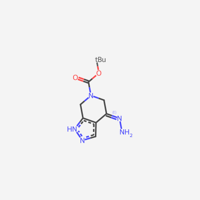 CC(C)(C)OC(=O)N1C/C(=N/N)c2cn[nH]c2C1